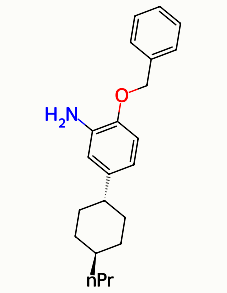 CCC[C@H]1CC[C@H](c2ccc(OCc3ccccc3)c(N)c2)CC1